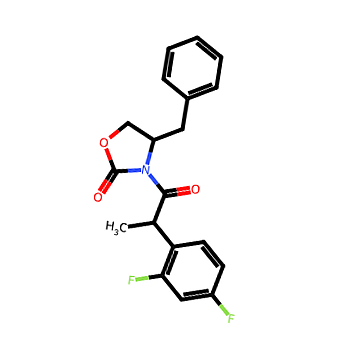 CC(C(=O)N1C(=O)OCC1Cc1ccccc1)c1ccc(F)cc1F